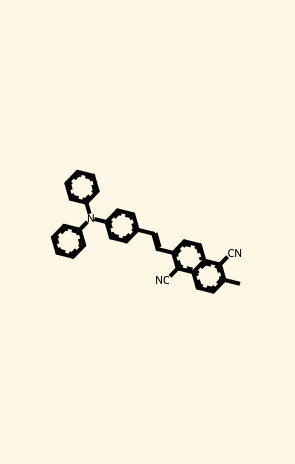 Cc1ccc2c(C#N)c(C=Cc3ccc(N(c4ccccc4)c4ccccc4)cc3)ccc2c1C#N